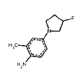 Cc1cc(N2CCC(F)C2)ccc1N